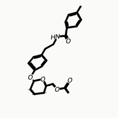 CC(=O)OCC1[CH][CH][CH][C@H](Oc2ccc(CCNC(=O)c3ccc(C)cc3)cc2)O1